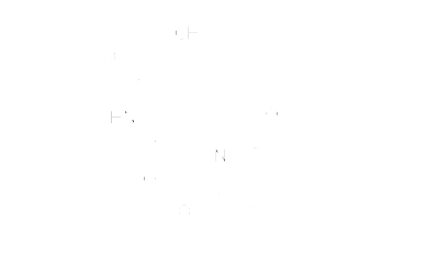 CC1CC(N2C(=O)c3ccccc3C2=O)C(=O)NC1=O